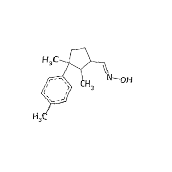 Cc1ccc(C2(C)CCC(C=NO)C2C)cc1